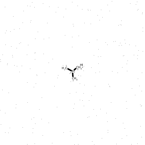 I.[CH3][Pt]([CH3])[CH3]